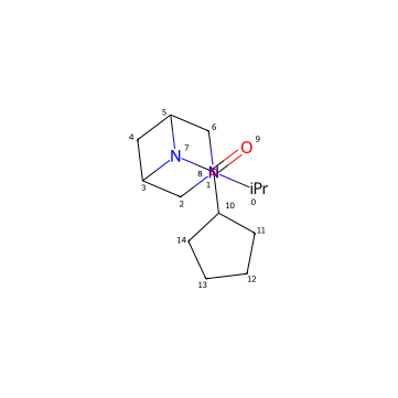 CC(C)N1CC2CC(C1)N2C(=O)C1CCCC1